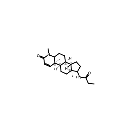 CCC(=O)NC1CC[C@H]2[C@@H]3CCC4N(C)C(=O)C=C[C@]4(C)[C@@H]3CC[C@]12C